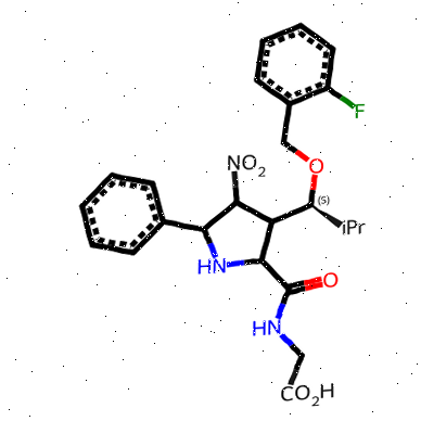 CC(C)[C@H](OCc1ccccc1F)C1C(C(=O)NCC(=O)O)NC(c2ccccc2)C1[N+](=O)[O-]